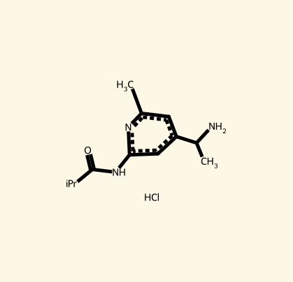 Cc1cc(C(C)N)cc(NC(=O)C(C)C)n1.Cl